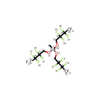 [CH3][Ge]([O]CC(F)(F)C(F)(F)C(F)(F)F)([O]CC(F)(F)C(F)(F)C(F)(F)F)[O]CC(F)(F)C(F)(F)C(F)(F)F